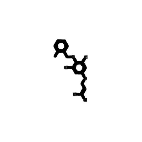 Cc1ccccc1COc1c(Cl)cc(OCC=C(Cl)Cl)cc1Cl